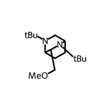 COCC1C2CCC(CN2C(C)(C)C)N1C(C)(C)C